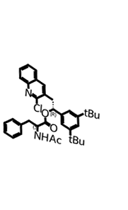 CC(=O)N[C@@H](Cc1ccccc1)C(=O)O[C@H](Cc1cc2ccccc2nc1Cl)c1cc(C(C)(C)C)cc(C(C)(C)C)c1